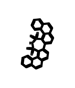 O=S1(=O)NS(=O)(=O)c2c(ccc3ccc4ccccc4c23)-c2ccc3ccc4ccccc4c3c21